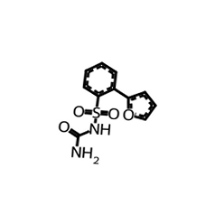 NC(=O)NS(=O)(=O)c1ccccc1-c1ccco1